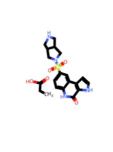 CCC(=O)O.O=c1[nH]c2ccc(S(=O)(=O)N3CC4CNCC4C3)cc2c2cc[nH]c12